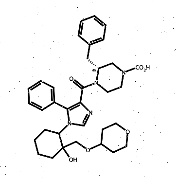 O=C(O)N1CCN(C(=O)c2ncn(C3CCCCC3(O)COC3CCOCC3)c2-c2ccccc2)[C@H](Cc2ccccc2)C1